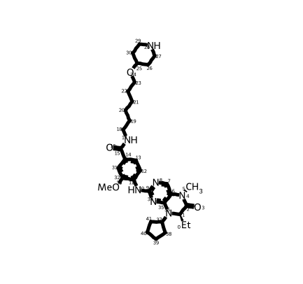 CC[C@@H]1C(=O)N(C)c2cnc(Nc3ccc(C(=O)NCCCCCCOC4CCNCC4)cc3OC)nc2N1C1CCCC1